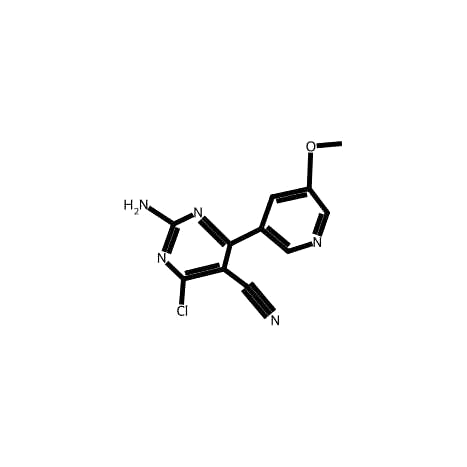 COc1cncc(-c2nc(N)nc(Cl)c2C#N)c1